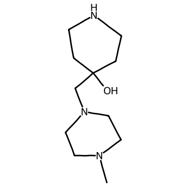 CN1CCN(CC2(O)CCNCC2)CC1